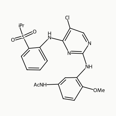 COc1ccc(NC(C)=O)cc1Nc1ncc(Cl)c(Nc2ccccc2S(=O)(=O)C(C)C)n1